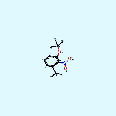 C[C](C)c1cccc(OC(C)(C)C)c1[N+](=O)[O-]